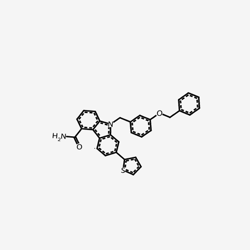 NC(=O)c1cccc2c1c1[c]cc(-c3cccs3)cc1n2Cc1cccc(OCc2ccccc2)c1